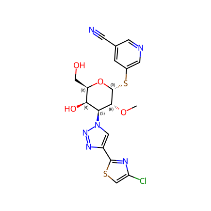 CO[C@@H]1[C@@H](n2cc(-c3nc(Cl)cs3)nn2)[C@@H](O)[C@@H](CO)O[C@@H]1Sc1cncc(C#N)c1